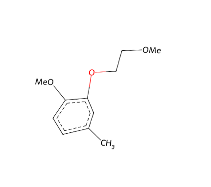 COCCOc1cc(C)ccc1OC